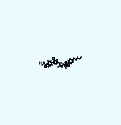 CCCCCc1ccc(S(=O)(=O)N(C)CCN(C)CC2CN(c3ccc(C(=N)N)cc3)C(=O)O2)cc1